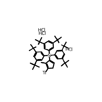 CC1=[C]([Ti])CC=C1[Si](c1cc(C(C)(C)C)cc(C(C)(C)C)c1)(c1cc(C(C)(C)C)cc(C(C)(C)C)c1)c1cc(C(C)(C)C)cc(C(C)(C)C)c1.Cl.Cl.Cl